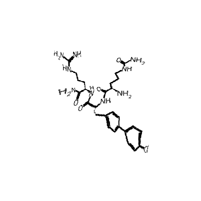 N=C(N)NCCC[C@@H](NC(=O)[C@@H](Cc1ccc(-c2ccc(Cl)cc2)cc1)NC(=O)[C@H](N)CCCNC(N)=O)C(N)=O